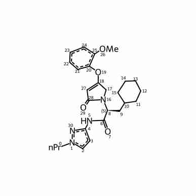 CCCn1ccc(NC(=O)[C@H](CC2CCCCC2)N2CC(Oc3ccccc3OC)=CC2=O)n1